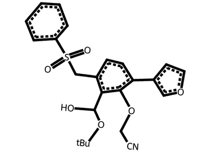 CC(C)(C)OC(O)c1c(CS(=O)(=O)c2ccccc2)ccc(-c2ccoc2)c1OCC#N